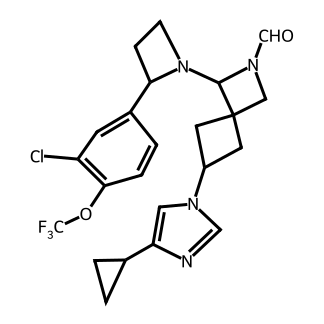 O=CN1CC2(CC(n3cnc(C4CC4)c3)C2)C1N1CCC1c1ccc(OC(F)(F)F)c(Cl)c1